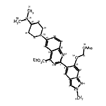 CCOC(=O)c1nc(-c2cc3cn(C)nc3cc2OCOC)nc2ccc(N3CCC(N(C)C)CC3)cc12